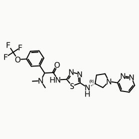 CN(C)C(C(=O)Nc1nnc(N[C@@H]2CCN(c3cccnn3)C2)s1)c1cccc(OC(F)(F)F)c1